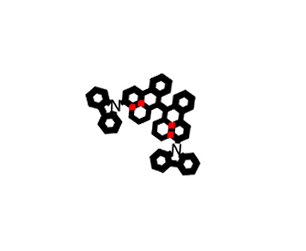 c1ccc(-c2ccc(-n3c4ccccc4c4ccccc43)cc2)c(/C(=C(\c2ccccc2-c2ccc(-n3c4ccccc4c4ccccc43)cc2)C2CCCCC2)C2CCCCC2)c1